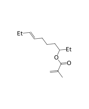 C=C(C)C(=O)OC(CC)CCC/C=C/CC